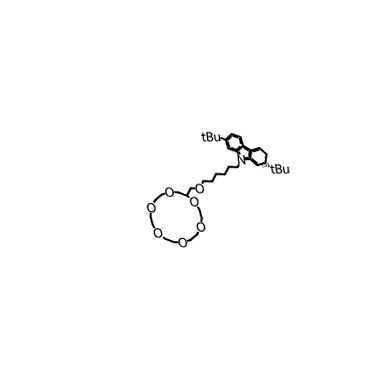 CC(C)(C)c1ccc2c3c(n(CCCCCCOCC4COCCOCCOCCOCCOCCO4)c2c1)=C[C@@H](C(C)(C)C)CC=3